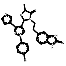 CC1OC(c2cn(-c3ccc(Br)cc3)nc2-c2ccsc2)N(CCc2ccc3[nH]c(=O)[nH]c3c2)C1=O